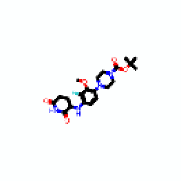 COc1c(N2CCN(C(=O)OC(C)(C)C)CC2)ccc(NC2CCC(=O)NC2=O)c1F